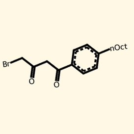 CCCCCCCCc1ccc(C(=O)CC(=O)CBr)cc1